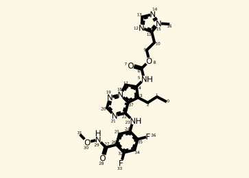 CCCc1c(NC(=O)OCCc2ncnn2C)cn2ncnc(Nc3cc(C(=O)NOC)c(F)cc3F)c12